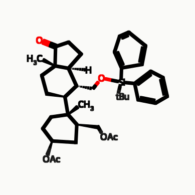 CC(=O)OC[C@H]1C[C@@H](OC(C)=O)CC[C@]1(C)[C@H]1CC[C@]2(C)C(=O)CC[C@H]2[C@@H]1CO[Si](c1ccccc1)(c1ccccc1)C(C)(C)C